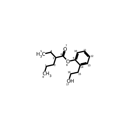 CCCC(CC)C(=O)Oc1ccccc1CCO